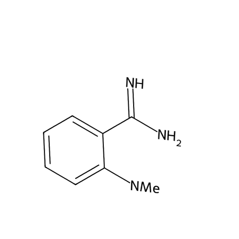 CNc1ccccc1C(=N)N